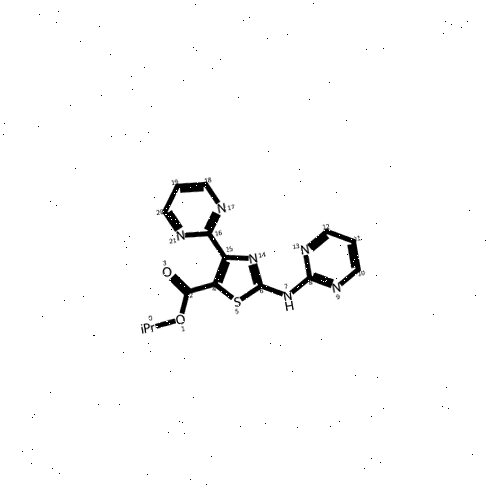 CC(C)OC(=O)c1sc(Nc2ncccn2)nc1-c1ncccn1